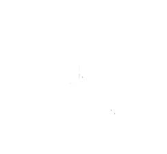 CC(C(=O)Nc1cc(C#N)ccc1CCCC(=O)O)c1csc2ccccc12